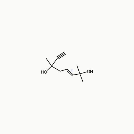 C#CC(C)(O)C/C=C/C(C)(C)O